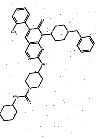 Cc1ccccc1-c1cc2cnc(NC3CCN(C(=O)NC4CCCCC4)CC3)nc2n(C2CCN(Cc3ccccc3)CC2)c1=O